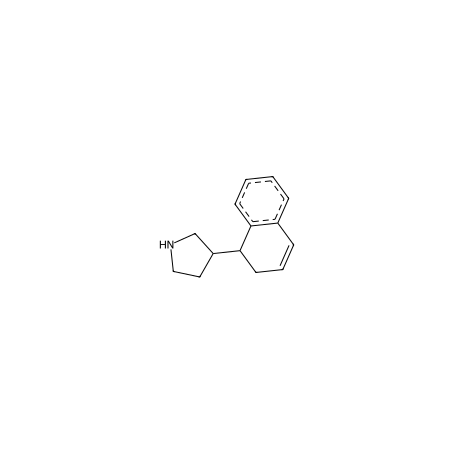 C1=Cc2ccccc2C(C2CCNC2)C1